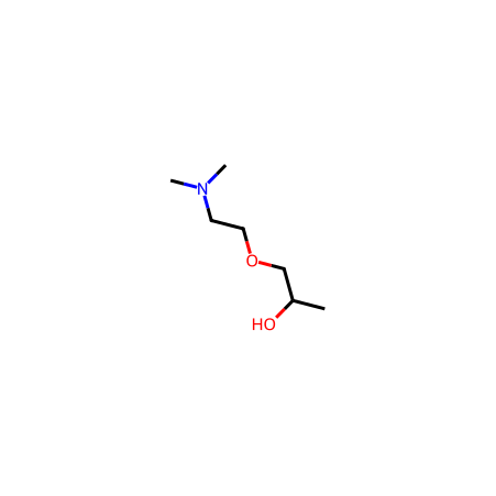 CC(O)COCCN(C)C